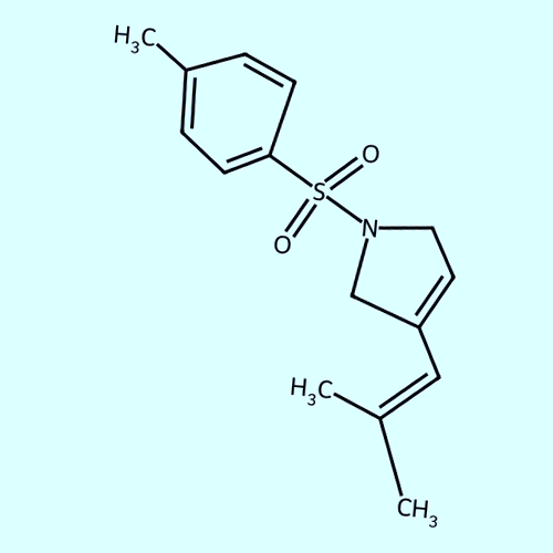 CC(C)=CC1=CCN(S(=O)(=O)c2ccc(C)cc2)C1